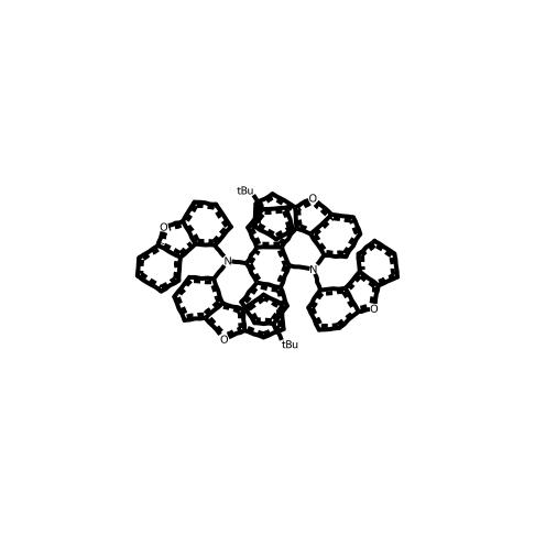 CC(C)(C)c1ccc2c(N(c3cccc4oc5ccccc5c34)c3cccc4oc5ccccc5c34)c3cc(C(C)(C)C)ccc3c(N(c3cccc4oc5ccccc5c34)c3cccc4oc5ccccc5c34)c2c1